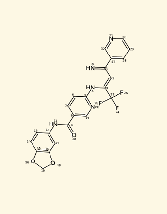 N=C(/C=C(\Nc1ccc(C(=O)Nc2ccc3c(c2)OCO3)cn1)C(F)(F)F)c1cccnc1